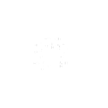 O=P1(O)OCN[C@@H]2CCCC[C@@H]2N[PH](O)(O)OP(=O)(O)O1